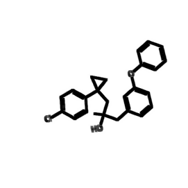 CC(O)(Cc1cccc(Oc2ccccc2)c1)CC1(c2ccc(Cl)cc2)CC1